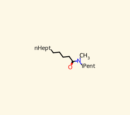 [CH2]C(CCC)N(C)C(=O)CCCCCCCCCCC